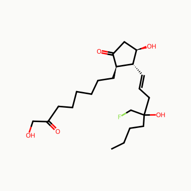 CCCCC(O)(CF)CC=C[C@H]1[C@H](O)CC(=O)[C@@H]1CCCCCCC(=O)CO